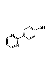 Sc1ccc(-c2ncccn2)cc1